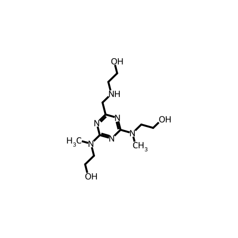 CN(CCO)c1nc(CNCCO)nc(N(C)CCO)n1